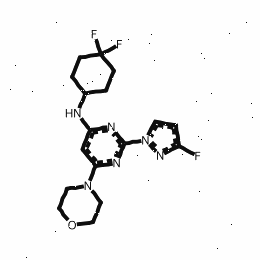 Fc1ccn(-c2nc(NC3CCC(F)(F)CC3)cc(N3CCOCC3)n2)n1